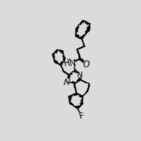 O=C(CCc1ccccc1)Nc1nc2c(nc1Cc1ccccc1)-c1ccc(F)cc1CC2